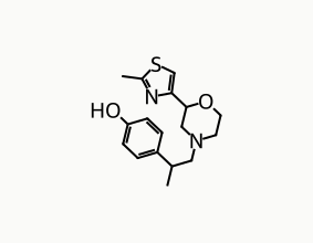 Cc1nc(C2CN(CC(C)c3ccc(O)cc3)CCO2)cs1